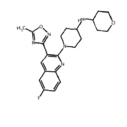 Cc1nc(-c2cc3cc(F)ccc3nc2N2CCC(NC3CCOCC3)CC2)no1